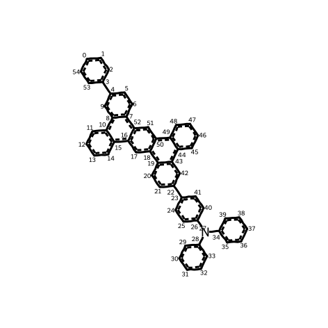 c1ccc(-c2ccc3c(c2)c2ccccc2c2cc4c5ccc(-c6ccc(N(c7ccccc7)c7ccccc7)cc6)cc5c5ccccc5c4cc32)cc1